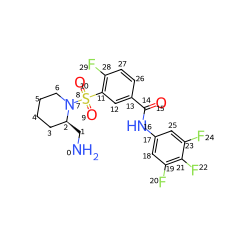 NC[C@H]1CCCCN1S(=O)(=O)c1cc(C(=O)Nc2cc(F)c(F)c(F)c2)ccc1F